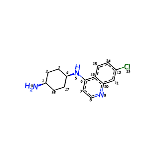 N[C@H]1CC[C@@H](Nc2ccnc3cc(Cl)ccc23)CC1